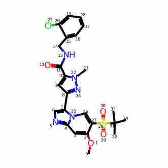 COc1cc2ncc(-c3cc(C(=O)NCc4ccccc4Cl)n(C)n3)n2cc1S(=O)(=O)C(C)(C)C